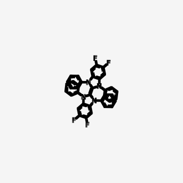 Fc1cc2c(cc1F)N(c1ccccc1)C(=C1N(c3ccccc3)c3cc(F)c(F)cc3N1c1ccccc1)N2c1ccccc1